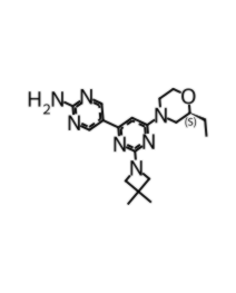 CC[C@H]1CN(c2cc(-c3cnc(N)nc3)nc(N3CC(C)(C)C3)n2)CCO1